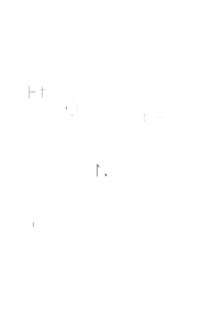 CCOCn1c(CCl)ccc1C(F)(F)F